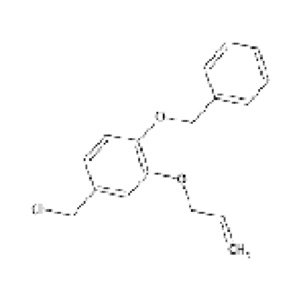 C=CCOc1cc(CCl)ccc1OCc1ccccc1